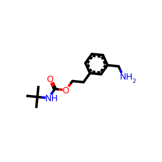 CC(C)(C)NC(=O)OCCc1cccc(CN)c1